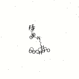 CN(CCCCC[C@@H]1Cc2cc(OC3CCCCO3)ccc2[C@H]2CC[C@]3(C)C(=O)CC[C@H]3[C@H]12)CCCS(=O)(=O)CCCC(F)(F)C(F)(F)F